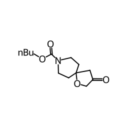 CCCCOC(=O)N1CCC2(CC1)CC(=O)CO2